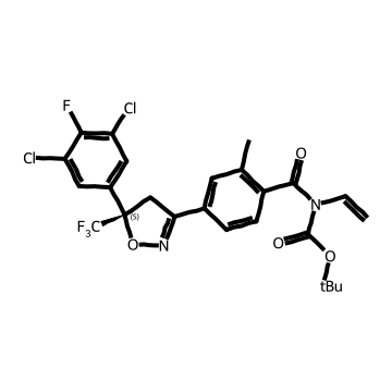 C=CN(C(=O)OC(C)(C)C)C(=O)c1ccc(C2=NO[C@@](c3cc(Cl)c(F)c(Cl)c3)(C(F)(F)F)C2)cc1C